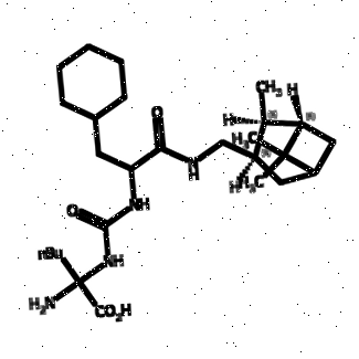 CCCCC(N)(NC(=O)NC(CC1CCCCC1)C(=O)NC[C@@H]1CC2C[C@@H]([C@@H]1C)C2(C)C)C(=O)O